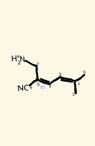 CC(C)=C/C=C(/C#N)CN